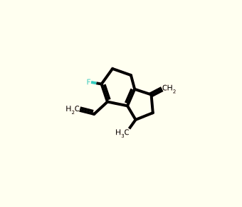 C=CC1=C(F)CCC2=C1C(C)CC2=C